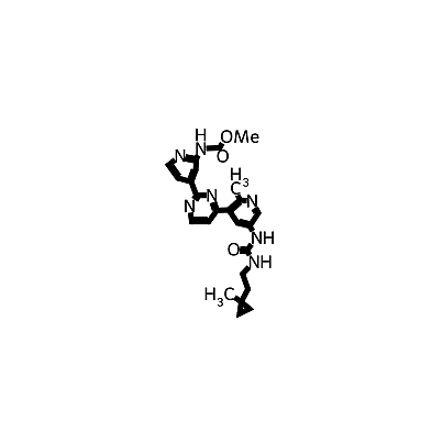 COC(=O)Nc1cc(-c2nccc(-c3cc(NC(=O)NCCC4(C)CC4)cnc3C)n2)ccn1